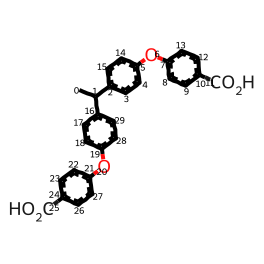 CC(c1ccc(Oc2ccc(C(=O)O)cc2)cc1)c1ccc(Oc2ccc(C(=O)O)cc2)cc1